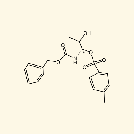 Cc1ccc(S(=O)(=O)O[C@H](NC(=O)OCc2ccccc2)C(C)O)cc1